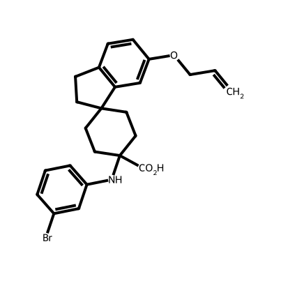 C=CCOc1ccc2c(c1)C1(CC2)CCC(Nc2cccc(Br)c2)(C(=O)O)CC1